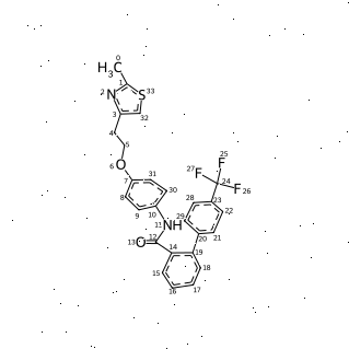 Cc1nc(CCOc2ccc(NC(=O)c3ccccc3-c3ccc(C(F)(F)F)cc3)cc2)cs1